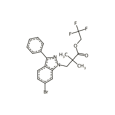 CC(C)(Cn1nc(-c2ccccc2)c2ccc(Br)cc21)C(=O)OCC(F)(F)F